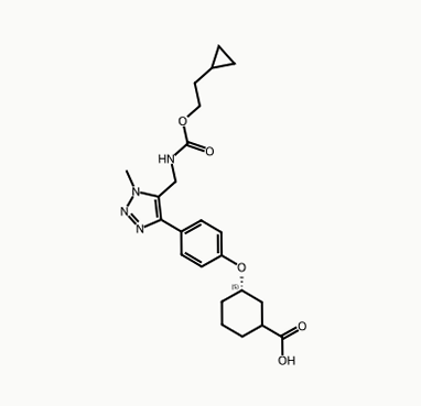 Cn1nnc(-c2ccc(O[C@H]3CCCC(C(=O)O)C3)cc2)c1CNC(=O)OCCC1CC1